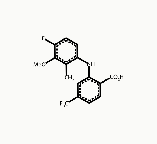 COc1c(F)ccc(Nc2cc(C(F)(F)F)ccc2C(=O)O)c1C